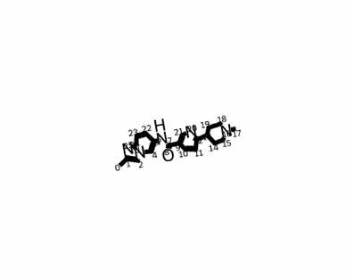 Cc1cn2cc(NC(=O)c3ccc(C4CCN(C)CC4)nc3)ccc2n1